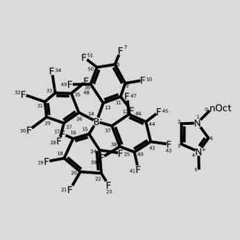 CCCCCCCCn1cc[n+](C)c1.Fc1c(F)c(F)c([B-](c2c(F)c(F)c(F)c(F)c2F)(c2c(F)c(F)c(F)c(F)c2F)c2c(F)c(F)c(F)c(F)c2F)c(F)c1F